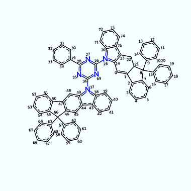 C1=C2c3ccccc3C(c3ccccc3)(c3ccccc3)C2Cc2c1n(-c1nc(-c3ccccc3)nc(-n3c4ccccc4c4cc5c(cc43)-c3ccccc3C5(c3ccccc3)c3ccccc3)n1)c1ccccc21